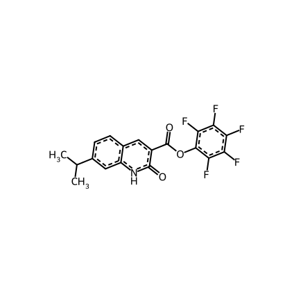 CC(C)c1ccc2cc(C(=O)Oc3c(F)c(F)c(F)c(F)c3F)c(=O)[nH]c2c1